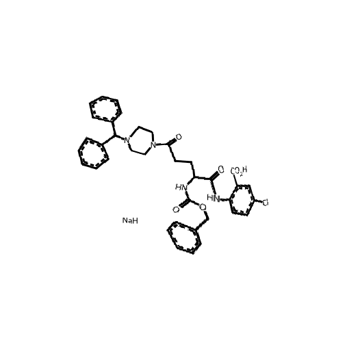 O=C(NC(CCC(=O)N1CCN(C(c2ccccc2)c2ccccc2)CC1)C(=O)Nc1ccc(Cl)cc1C(=O)O)OCc1ccccc1.[NaH]